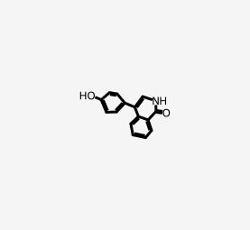 O=c1[nH]cc(-c2ccc(O)cc2)c2ccccc12